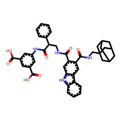 O=C(O)c1cc(NC(=O)C(CNC(=O)c2cc3[nH]c4ccccc4c3cc2C(=O)NCC23CC4CC(CC(C4)C2)C3)c2ccccc2)cc(C(=O)O)c1